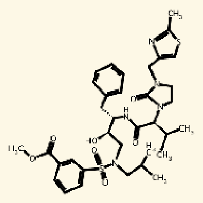 COC(=O)c1cccc(S(=O)(=O)N(CC(C)C)C[C@@H](O)[C@H](Cc2ccccc2)NC(=O)[C@H](C(C)C)N2CCN(Cc3csc(C)n3)C2=O)c1